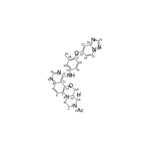 CC(=O)N1CCN2c3ccc4ncnc(Nc5ccc(Oc6ccn7ncnc7c6)c(C)c5)c4c3OC[C@H]2C1